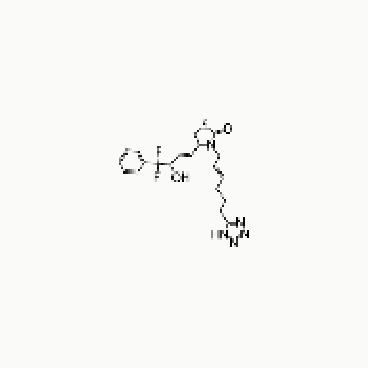 O=C1SCC(C=CC(O)C(F)(F)c2ccccc2)N1CC=CCCCc1nnn[nH]1